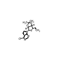 C=CC1S[C@@H](n2ccc3c(Cl)ncnc32)[C@@H]2OC(C)(C)O[C@H]12